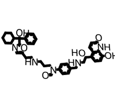 O=CN(CCCNCCc1cnc(C(O)(c2ccccc2)C2CCCCC2)o1)c1ccc(CNC[C@@H](O)c2ccc(O)c3[nH]c(=O)ccc23)cc1